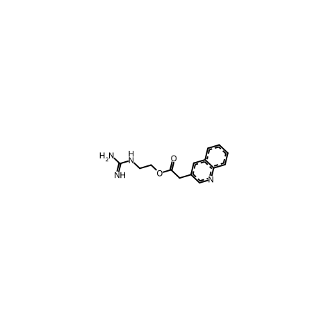 N=C(N)NCCOC(=O)Cc1cnc2ccccc2c1